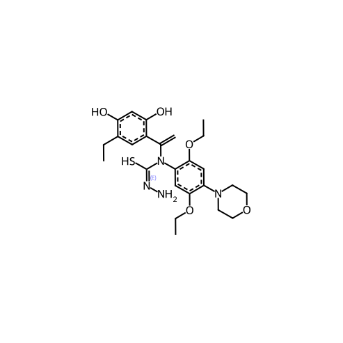 C=C(c1cc(CC)c(O)cc1O)N(/C(S)=N\N)c1cc(OCC)c(N2CCOCC2)cc1OCC